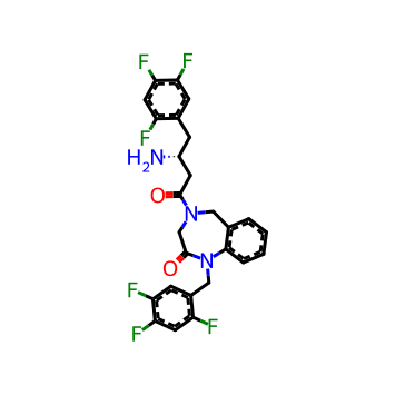 N[C@@H](CC(=O)N1CC(=O)N(Cc2cc(F)c(F)cc2F)c2ccccc2C1)Cc1cc(F)c(F)cc1F